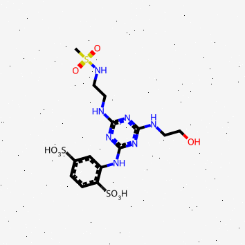 CS(=O)(=O)NCCNc1nc(NCCO)nc(Nc2cc(S(=O)(=O)O)ccc2S(=O)(=O)O)n1